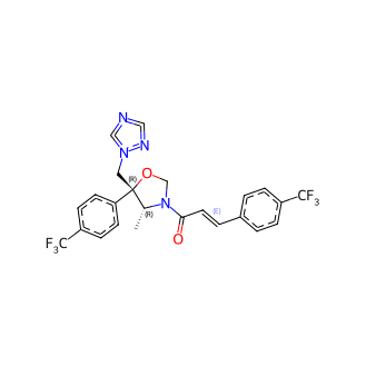 C[C@H]1N(C(=O)/C=C/c2ccc(C(F)(F)F)cc2)CO[C@@]1(Cn1cncn1)c1ccc(C(F)(F)F)cc1